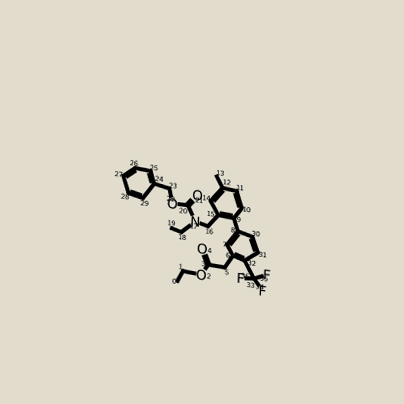 CCOC(=O)Cc1cc(-c2ccc(C)cc2CN(CC)C(=O)OCc2ccccc2)ccc1C(F)(F)F